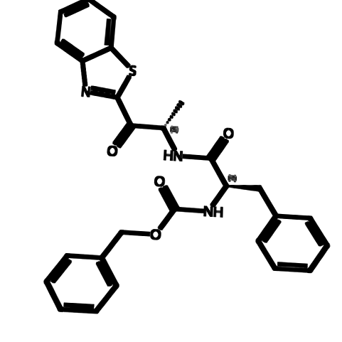 C[C@H](NC(=O)[C@@H](Cc1ccccc1)NC(=O)OCc1ccccc1)C(=O)c1nc2ccccc2s1